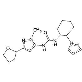 Cn1nc(C2CCCO2)cc1NC(=O)NC1CCCCC1n1cccn1